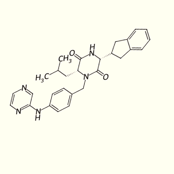 CC(C)C[C@@H]1C(=O)N[C@H](C2Cc3ccccc3C2)C(=O)N1Cc1ccc(Nc2cnccn2)cc1